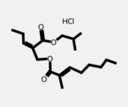 CCC=C(COC(=O)C(C)=CCCCCC)C(=O)OCC(C)C.Cl